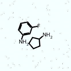 NC1CCCC1.Nc1cccc(F)c1